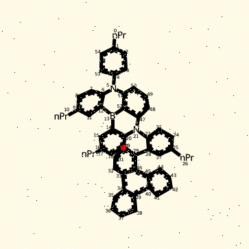 CCCc1ccc(N2c3ccc(CCC)cc3B3c4cc(CCC)ccc4N(c4ccc(CCC)cc4-c4cccc5c6ccccc6c6ccccc6c45)c4cccc2c43)cc1